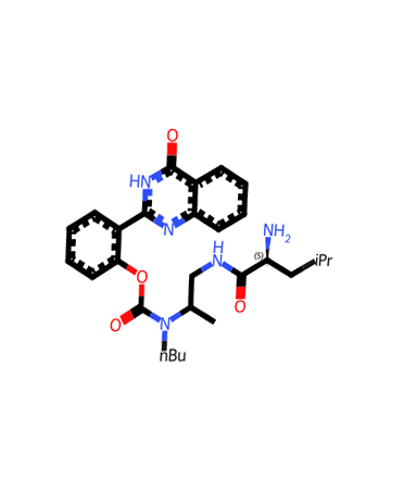 CCCCN(C(=O)Oc1ccccc1-c1nc2ccccc2c(=O)[nH]1)C(C)CNC(=O)[C@@H](N)CC(C)C